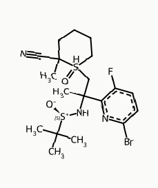 CC(C[SH]1(=O)CCCCC1(C)C#N)(N[S@+]([O-])C(C)(C)C)c1nc(Br)ccc1F